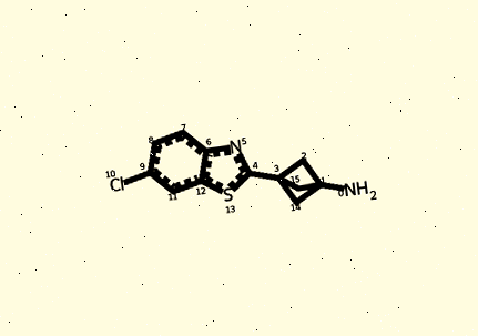 NC12CC(c3nc4ccc(Cl)cc4s3)(C1)C2